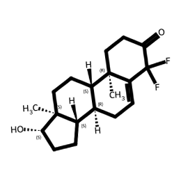 C[C@]12CC[C@H]3[C@@H](CC=C4C(F)(F)C(=O)CC[C@@]43C)[C@@H]1CC[C@@H]2O